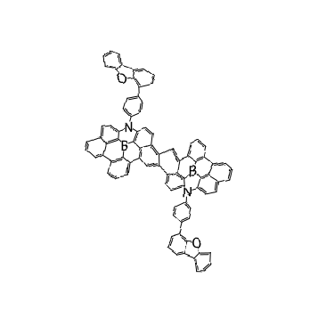 c1cc2c3c(c1)-c1cc4c5ccc6c7c5c(cc4c4ccc5c(c14)B3c1c(ccc3cccc-2c13)N5c1ccc(-c2cccc3c2oc2ccccc23)cc1)-c1cccc2c1B7c1c(ccc3cccc-2c13)N6c1ccc(-c2cccc3c2oc2ccccc23)cc1